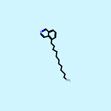 CCCCCCCCCCCCc1cccc2cnccc12